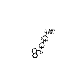 O=C(NO)c1cnc(N2CCN(C(=O)c3cccc4ccccc34)CC2)nc1